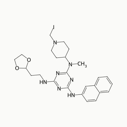 CN(c1nc(NCCC2OCCO2)nc(Nc2ccc3ccccc3c2)n1)C1CCN(CI)CC1